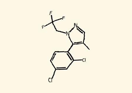 Cc1cnn(CC(F)(F)F)c1-c1ccc(Cl)cc1Cl